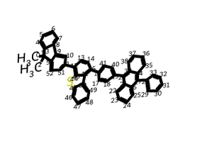 CC1(C)c2ccccc2-c2cc(-c3ccc(-c4ccc(-c5c6ccccc6c(-c6ccccc6)c6ccccc56)cc4)c4c3sc3ccccc34)ccc21